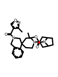 CCOC(=O)N1C2CCC1CC(N1CCC3(CC1)CN(C(=O)c1conc1C)Cc1ccccc13)C2